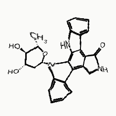 C[C@@H]1O[C@@H](n2c3ccccc3c3c4c(c5c6ccccc6[nH]c5c32)C(=O)NC4)C[C@H](O)[C@H]1O